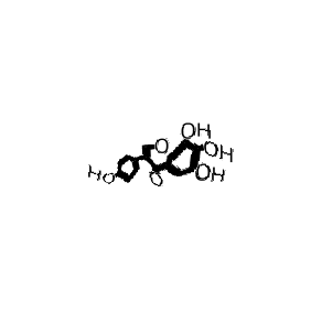 O=c1c(-c2ccc(O)cc2)coc2c(O)c(O)c(O)cc12